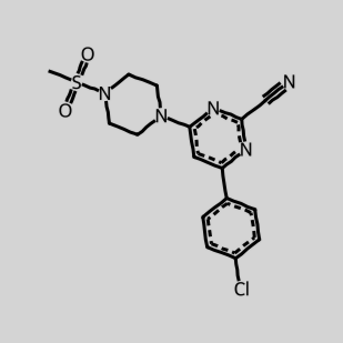 CS(=O)(=O)N1CCN(c2cc(-c3ccc(Cl)cc3)nc(C#N)n2)CC1